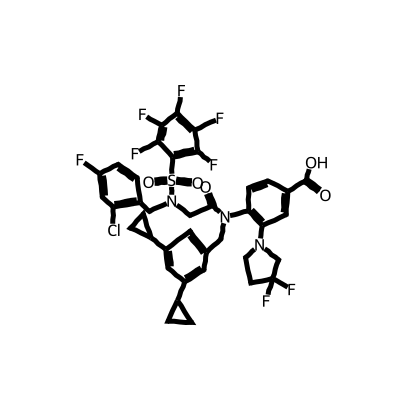 O=C(O)c1ccc(N(Cc2cc(C3CC3)cc(C3CC3)c2)C(=O)CN(Cc2ccc(F)cc2Cl)S(=O)(=O)c2c(F)c(F)c(F)c(F)c2F)c(N2CCC(F)(F)C2)c1